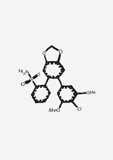 COc1cc(-c2cc3c(cc2-c2ccccc2S(N)(=O)=O)OCO3)cc(OC)c1Cl